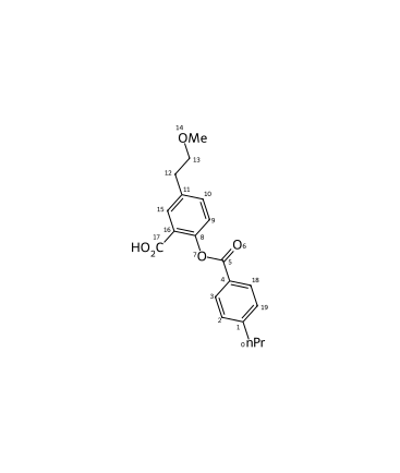 CCCc1ccc(C(=O)Oc2ccc(CCOC)cc2C(=O)O)cc1